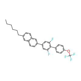 CCCCCCc1ccc2cc(-c3cc(F)c(-c4ccc(OC(F)(F)F)cc4)c(F)c3)ccc2c1